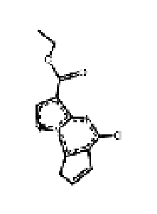 CCOC(=O)c1cnn2c3c(c(Cl)nc12)C=CC3